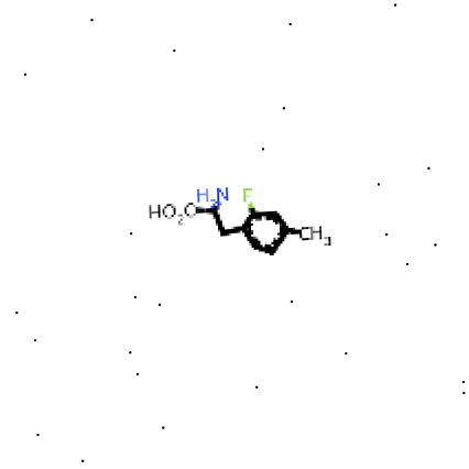 Cc1ccc(CC(N)C(=O)O)c(F)c1